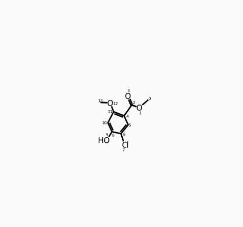 COC(=O)c1cc(Cl)c(O)cc1OC